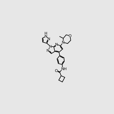 CC1COCCN1c1cc(-c2ccc(NC(=O)C3CCC3)cc2)c2cnn(-c3cc[nH]n3)c2n1